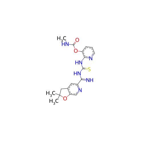 CNC(=O)Oc1cccnc1NC(=S)NC(=N)c1cc2c(cn1)OC(C)(C)C2